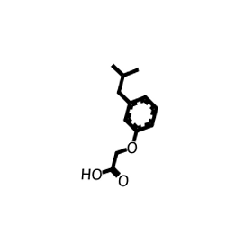 CC(C)Cc1cccc(OCC(=O)O)c1